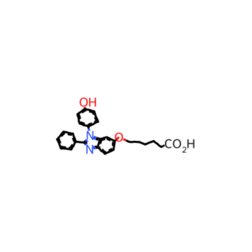 O=C(O)CCCCCOc1ccc2nc(-c3ccccc3)n(-c3ccc(O)cc3)c2c1